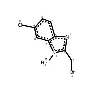 Cn1c(CBr)nc2ccc(Cl)cc21